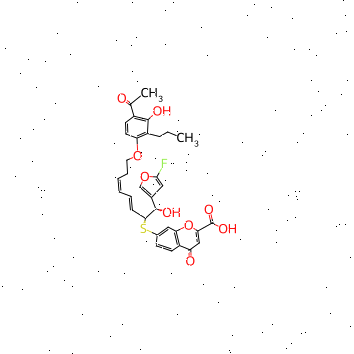 CCCc1c(OCC/C=C\C=C\[C@H](Sc2ccc3c(=O)cc(C(=O)O)oc3c2)[C@H](O)c2coc(F)c2)ccc(C(C)=O)c1O